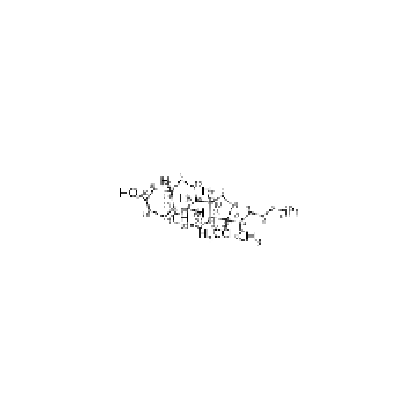 CC(C)CCC[C@@H](C)[C@@]1(Cl)CC[C@H]2[C@@H]3CC[C@H]4CC(O)CC[C@]4(C)[C@H]3CC[C@@]21C